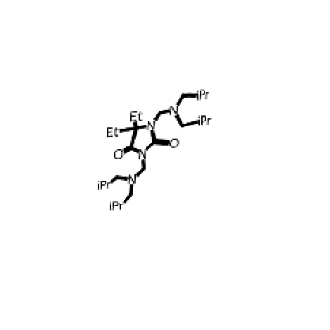 CCC1(CC)C(=O)N(CN(CC(C)C)CC(C)C)C(=O)N1CN(CC(C)C)CC(C)C